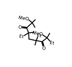 CCC(C)(CC(C)(CC)C(=O)C(C)(CC)OC)C(=O)C(C)(C)OC